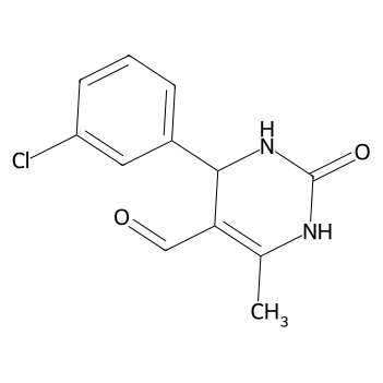 CC1=C(C=O)C(c2cccc(Cl)c2)NC(=O)N1